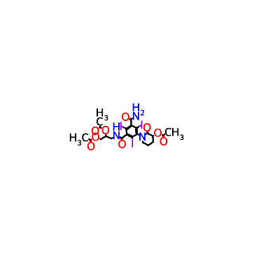 CC(=O)OCC(CNC(=O)c1c(I)c(C(N)=O)c(I)c(N2CCCC(OC(C)=O)C2=O)c1I)OC(C)=O